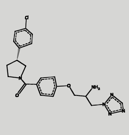 NC(COc1ccc(C(=O)N2CC[C@H](c3ccc(Cl)cc3)C2)cc1)Cn1ncnn1